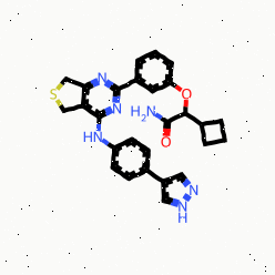 NC(=O)C(Oc1cccc(-c2nc3c(c(Nc4ccc(-c5cn[nH]c5)cc4)n2)CSC3)c1)C1CCC1